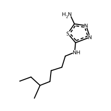 CCC(C)CCCCNc1nnc(N)s1